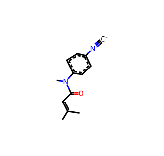 [C-]#[N+]c1ccc(N(C)C(=O)C=C(C)C)cc1